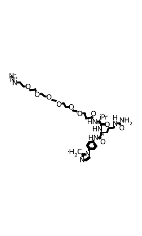 [CH2]c1nccn1-c1ccc(NC(=O)[C@H](CCCNC(N)=O)NC(=O)[C@@H](NC(=O)CCOCCOCCOCCOCCOCCOCCN=[N+]=[N-])C(C)C)cc1